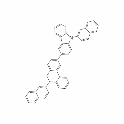 c1ccc2c(c1)-c1cc(-c3ccc4c(c3)c3ccccc3n4-c3ccc4ccccc4c3)ccc1CC2c1ccc2ccccc2c1